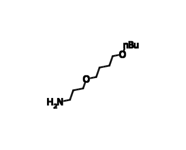 CCCCOCCCCOCCCN